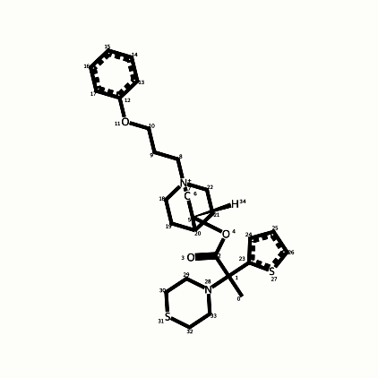 CC(C(=O)O[C@H]1C[N+]2(CCCOc3ccccc3)CCC1CC2)(c1cccs1)N1CCSCC1